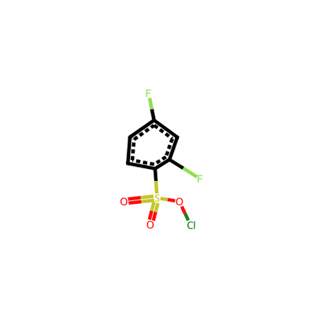 O=S(=O)(OCl)c1ccc(F)cc1F